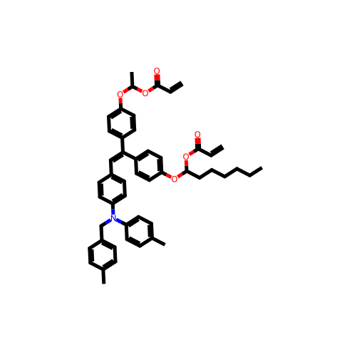 C=CC(=O)OC(C)Oc1ccc(C(=Cc2ccc(N(Cc3ccc(C)cc3)c3ccc(C)cc3)cc2)c2ccc(OC(CCCCCC)OC(=O)C=C)cc2)cc1